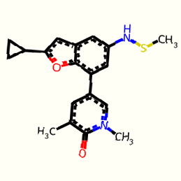 CSNc1cc(-c2cc(C)c(=O)n(C)c2)c2oc(C3CC3)cc2c1